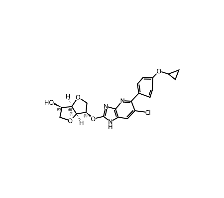 O[C@@H]1CO[C@H]2[C@@H]1OC[C@H]2Oc1nc2nc(-c3ccc(OC4CC4)cc3)c(Cl)cc2[nH]1